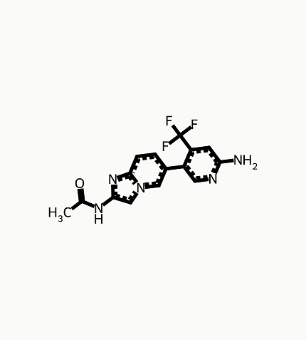 CC(=O)Nc1cn2cc(-c3cnc(N)cc3C(F)(F)F)ccc2n1